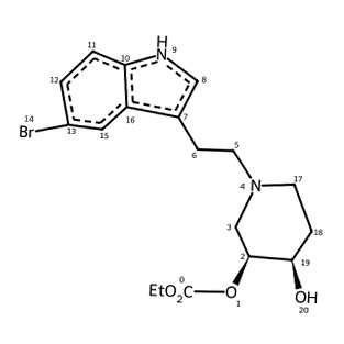 CCOC(=O)O[C@H]1CN(CCc2c[nH]c3ccc(Br)cc23)CC[C@H]1O